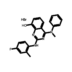 Br.Cc1cc(F)ccc1Nc1nc(N(C)c2ccccc2)c2cccc(O)c2n1